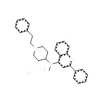 CN(c1cc(-c2ccccc2)nc2ccccc12)C1CCN(CCc2ccccc2)CC1.Cl.Cl